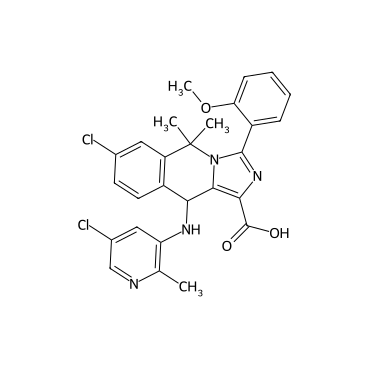 COc1ccccc1-c1nc(C(=O)O)c2n1C(C)(C)c1cc(Cl)ccc1C2Nc1cc(Cl)cnc1C